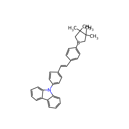 CC1(C)CB(c2ccc(C=Cc3ccc(-n4c5ccccc5c5ccccc54)cc3)cc2)CC1(C)C